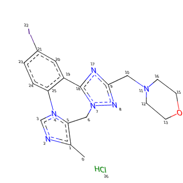 Cc1ncn2c1Cn1nc(CN3CCOCC3)nc1-c1cc(I)ccc1-2.Cl